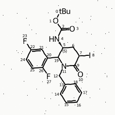 CC(C)(C)OC(=O)N[C@H]1CC(I)C(=O)N(Cc2ccccc2)C1c1cc(F)ccc1F